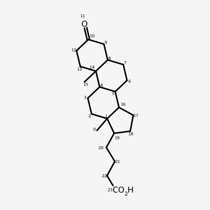 CC12CCC3C(CCC4CC(=O)CCC43C)C1CCC2CCCC(=O)O